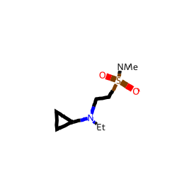 CCN(CCS(=O)(=O)NC)C1CC1